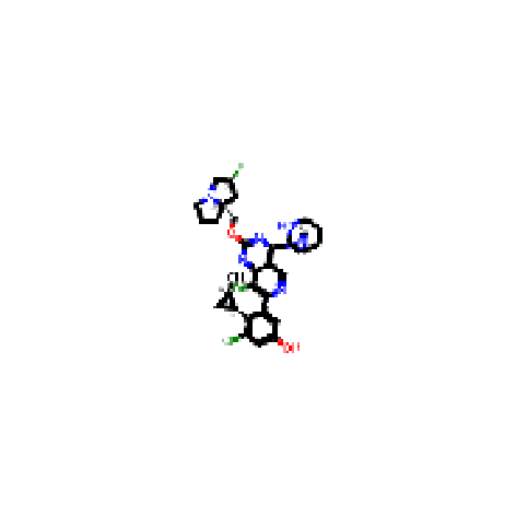 C[C@@H]1C[C@@H]1c1c(Cl)cc(O)cc1-c1ncc2c(N3CC4CCC3CN4)nc(OC[C@]34CCCN3C[C@@H](F)C4)nc2c1F